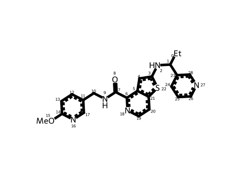 CCC(Nc1cc2c(C(=O)NCc3ccc(OC)nc3)nccc2s1)c1cccnc1